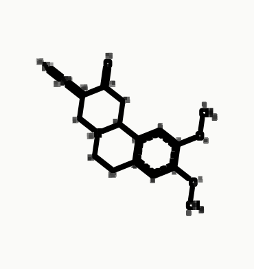 COc1cc2c(cc1OC)C1CC(=O)C(=[N+]=[N-])CN1CC2